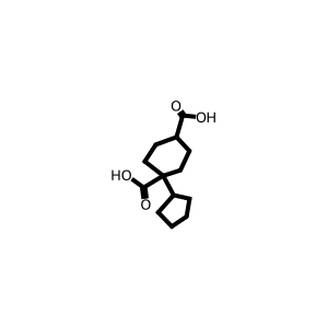 O=C(O)C1CCC(C(=O)O)(C2CCCC2)CC1